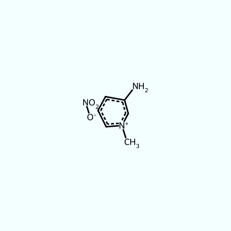 C[n+]1cccc(N)c1.O=[N+]([O-])[O-]